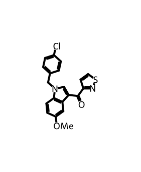 COc1ccc2c(c1)c(C(=O)c1ccsn1)cn2Cc1ccc(Cl)cc1